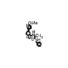 COc1ccc(-c2ccc3ncnc(NC(C)C(=O)NCc4ccccc4)c3c2)cn1